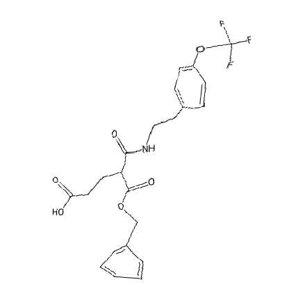 O=C(O)CCC(C(=O)NCCc1ccc(OC(F)(F)F)cc1)C(=O)OCc1ccccc1